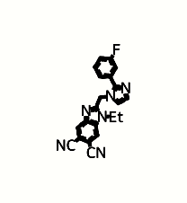 CCn1c(Cn2ccnc2-c2cccc(F)c2)nc2cc(C#N)c(C#N)cc21